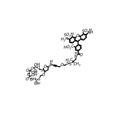 CC(C)(C)SSCO[C@@H]1C[C@H](BC#CCOCSSC(C)(C)CNC(=O)c2ccc(-c3c4ccc(=N)c(S(=O)(=O)O)c-4oc4c(S(=O)(=O)O)c(N)ccc34)c(C(=O)O)c2)O[C@@H]1COP(=O)(O)OP(=O)(O)OP(=O)(O)O